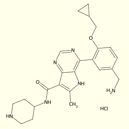 Cc1[nH]c2c(-c3cc(CN)ccc3OCC3CC3)ncnc2c1C(=O)NC1CCNCC1.Cl